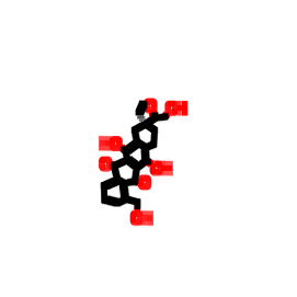 C=C[C@]1(C(=O)CO)CCc2c(O)c3c(c(O)c2C1)C(=O)c1cccc(CO)c1C3=O